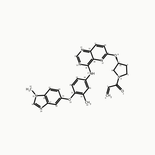 C=CC(=O)N1CC[C@H](Oc2ccc3ncnc(Nc4ccc(Oc5ccc6c(c5)ncn6C)c(C)c4)c3n2)C1